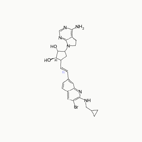 Nc1ncnc2c1CCN2C1CC(/C=C/c2ccc3cc(Br)c(NCC4CC4)nc3c2)[C@@H](O)C1O